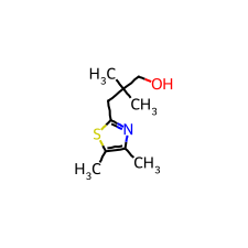 Cc1nc(CC(C)(C)CO)sc1C